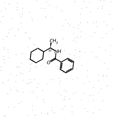 C[C@@H](NC(=O)c1ccccc1)C1CCCCC1